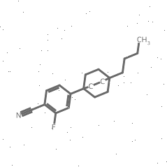 CCCCC12CCC(c3ccc(C#N)c(F)c3)(CC1)CC2